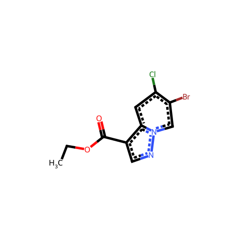 CCOC(=O)c1cnn2cc(Br)c(Cl)cc12